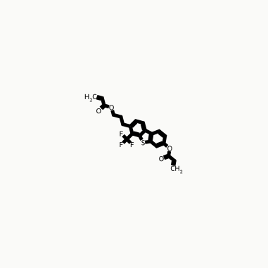 C=CC(=O)OCCCc1ccc2c(sc3cc(OC(=O)C=C)ccc32)c1C(F)(F)F